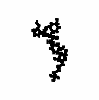 CCc1nocc1C(=O)N[C@H](C(=O)Nc1ccc(-c2c(C)nn(COCC[Si](C)(C)C)c2C)c(F)n1)C1CCC(C)CC1